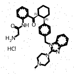 CN1CCN(c2nc3ccccc3n2Cc2ccc([C@@H]3CCCC[C@@H]3C(=O)c3ccccc3NC(=O)CN)cc2)CC1.Cl